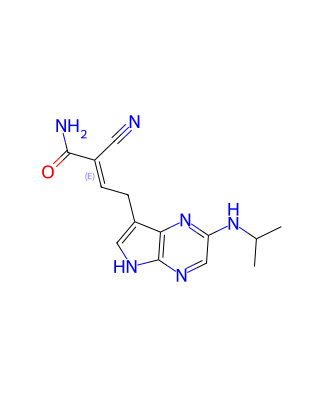 CC(C)Nc1cnc2[nH]cc(C/C=C(\C#N)C(N)=O)c2n1